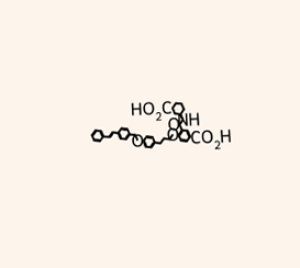 O=C(O)c1ccc(OCCCc2ccc(OCc3ccc(/C=C/c4ccccc4)cc3)cc2)c(C(=O)NC2CCCC(C(=O)O)C2)c1